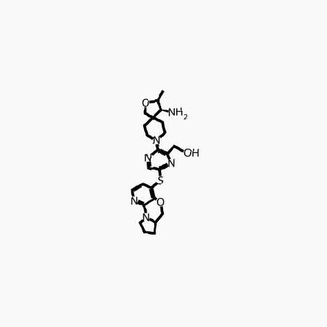 CC1OCC2(CCN(c3ncc(Sc4ccnc5c4OCC4CCCN54)nc3CO)CC2)[C@@H]1N